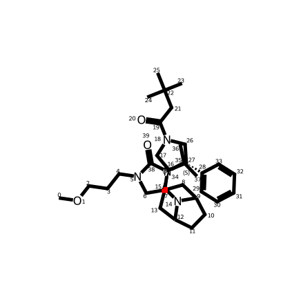 COCCCN1CC2(CC3CCC(C2)N3C[C@H]2CN(C(=O)CC(C)(C)C)C[C@@H]2c2ccccc2)N(C(C)C)C1=O